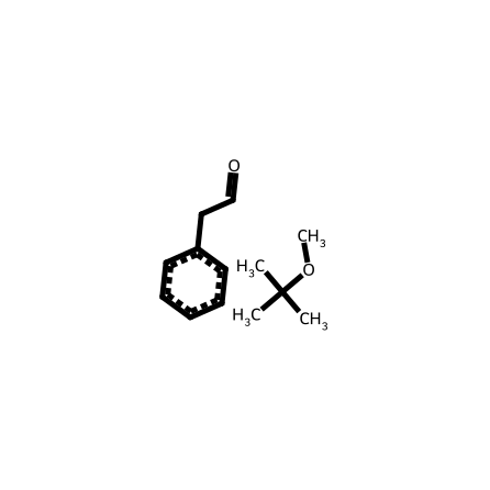 COC(C)(C)C.O=CCc1ccccc1